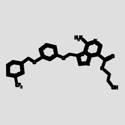 Nc1ncc(C(=O)OCCO)c2scc(COc3cccc(OCc4cccc(C(F)(F)F)c4)c3)c12